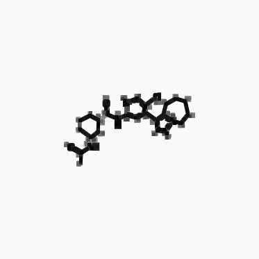 CC(=O)N[C@@H]1CCC[C@H](C(=O)Nc2cc(-c3cnn4c3CCCCC4)c(Cl)cn2)C1